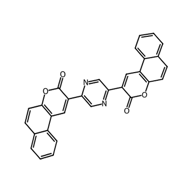 O=c1oc2ccc3ccccc3c2cc1-c1cnc(-c2cc3c(ccc4ccccc43)oc2=O)cn1